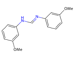 COc1cccc(/N=C/Nc2cccc(OC)c2)c1